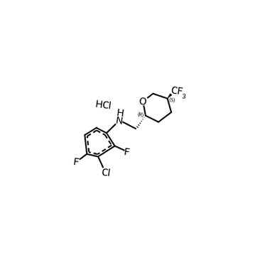 Cl.Fc1ccc(NC[C@H]2CC[C@H](C(F)(F)F)CO2)c(F)c1Cl